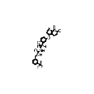 O=C1CCc2c(Oc3ccc4c(c3)[C@H]3[C@H](NC(=O)NCc5cccc(C(F)(F)F)c5)[C@H]3O4)ccnc2N1